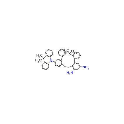 CC1(C)c2ccccc2-c2cc(N3c4ccccc4C(C)(C)c4ccccc43)ccc2CCc2c(N)cc(N)cc2-c2ccccc21